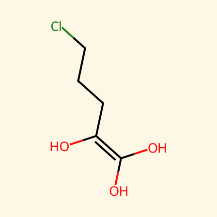 OC(O)=C(O)CCCCl